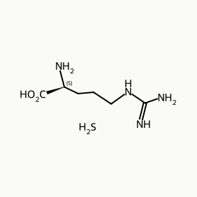 N=C(N)NCCC[C@H](N)C(=O)O.S